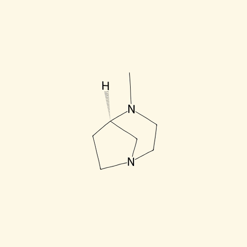 CN1CCN2CC[C@@H]1C2